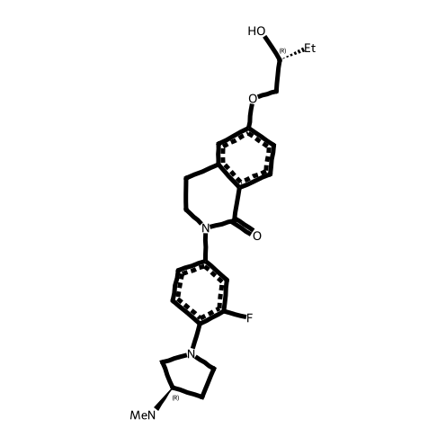 CC[C@@H](O)COc1ccc2c(c1)CCN(c1ccc(N3CC[C@@H](NC)C3)c(F)c1)C2=O